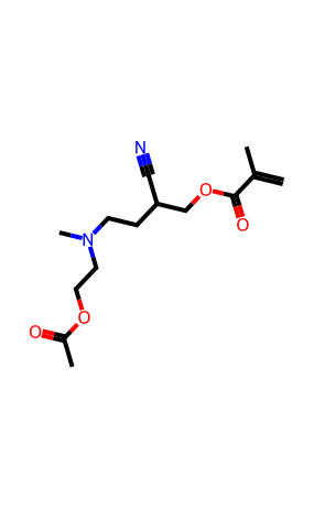 C=C(C)C(=O)OCC(C#N)CCN(C)CCOC(C)=O